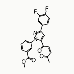 COC(=O)c1cccc(-n2nc(-c3ccc(F)c(F)c3)cc2C(=O)/C=C\C(C)=O)c1